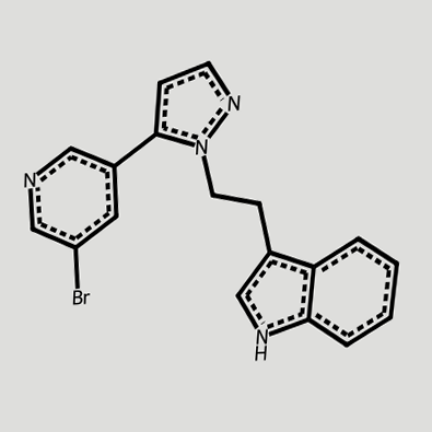 Brc1cncc(-c2ccnn2CCc2c[nH]c3ccccc23)c1